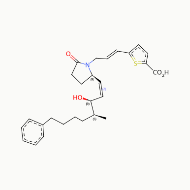 C[C@@H](CCCCc1ccccc1)[C@@H](O)/C=C\[C@H]1CCC(=O)N1CC=Cc1ccc(C(=O)O)s1